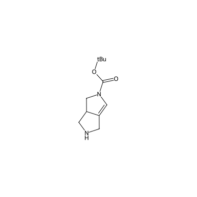 CC(C)(C)OC(=O)N1C=C2CNCC2C1